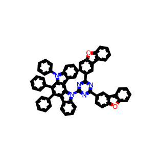 c1ccc(-c2c(-c3ccccc3)c3c(c4ccccc4n3-c3ccccc3)c3c2c2ccccc2n3-c2nc(-c3ccc4oc5ccccc5c4c3)nc(-c3ccc4oc5ccccc5c4c3)n2)cc1